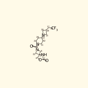 O=C1NC2(CO1)CN(C(=O)N1CCC(N3CC(CC(F)(F)F)C3)CC1)C2